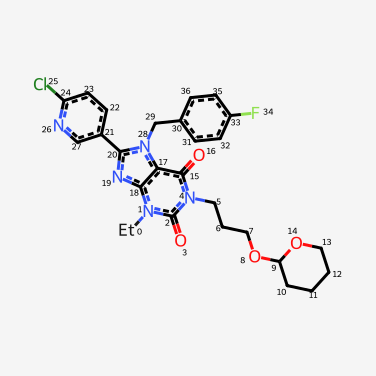 CCn1c(=O)n(CCCOC2CCCCO2)c(=O)c2c1nc(-c1ccc(Cl)nc1)n2Cc1ccc(F)cc1